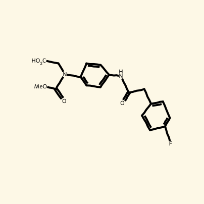 COC(=O)N(CC(=O)O)c1ccc(NC(=O)Cc2ccc(F)cc2)cc1